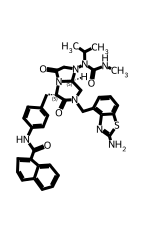 CNC(=O)N(C(C)C)N1CC(=O)N2[C@@H](Cc3ccc(NC(=O)c4cccc5ccccc45)cc3)C(=O)N(Cc3cccc4sc(N)nc34)C[C@@H]21